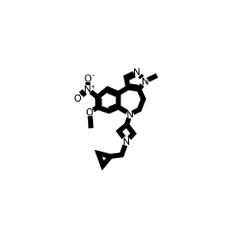 COc1cc2c(cc1[N+](=O)[O-])-c1cnn(C)c1CCN2C1CN(CC2CC2)C1